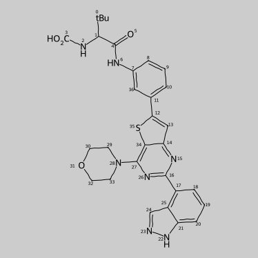 CC(C)(C)C(NC(=O)O)C(=O)Nc1cccc(-c2cc3nc(-c4cccc5[nH]ncc45)nc(N4CCOCC4)c3s2)c1